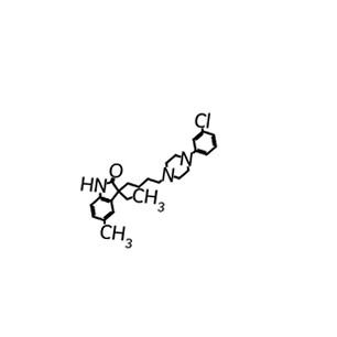 CCC1(CCCCN2CCN(c3cccc(Cl)c3)CC2)C(=O)Nc2ccc(C)cc21